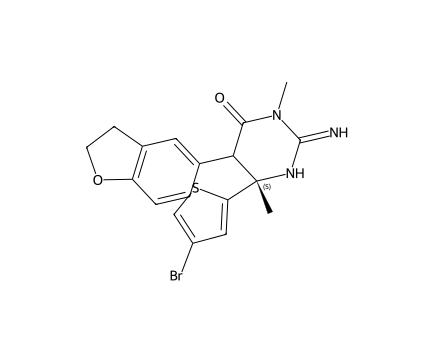 CN1C(=N)N[C@](C)(c2cc(Br)cs2)C(c2ccc3c(c2)CCO3)C1=O